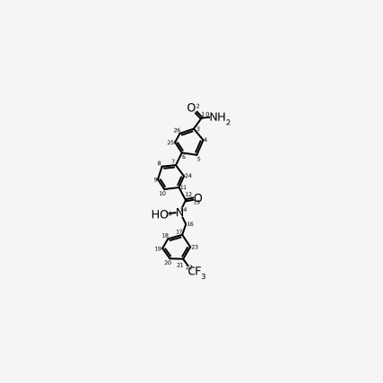 NC(=O)c1ccc(-c2cccc(C(=O)N(O)Cc3cccc(C(F)(F)F)c3)c2)cc1